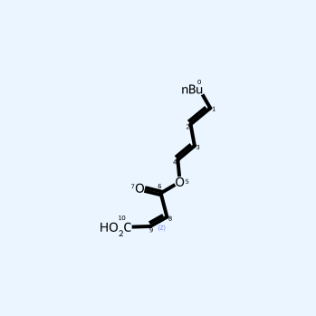 CCCCC=CC=COC(=O)/C=C\C(=O)O